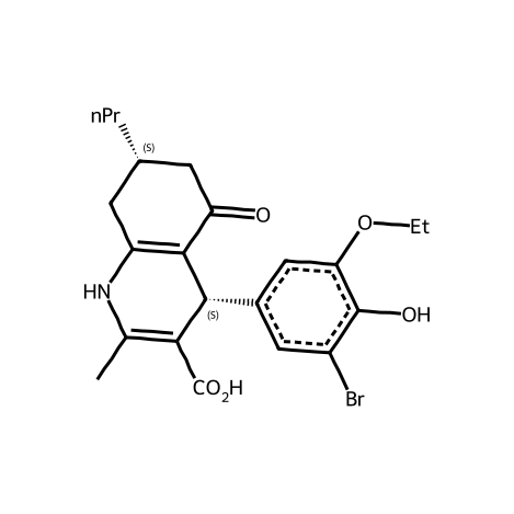 CCC[C@@H]1CC(=O)C2=C(C1)NC(C)=C(C(=O)O)[C@H]2c1cc(Br)c(O)c(OCC)c1